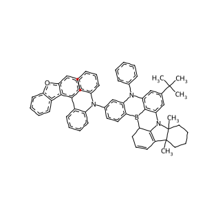 CC(C)(C)c1cc2c3c(c1)N1C4=C(C=CCC4B3c3ccc(N(c4ccccc4)c4ccccc4-c4cccc5oc6ccccc6c45)cc3N2c2ccccc2)C2(C)CCCCC12C